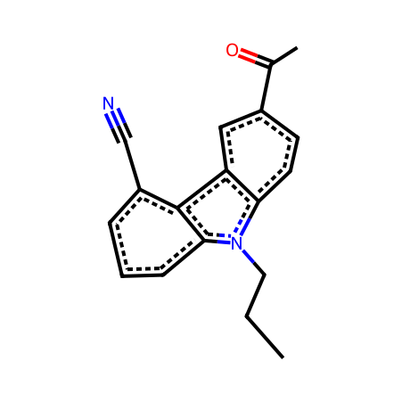 CCCn1c2ccc(C(C)=O)cc2c2c(C#N)cccc21